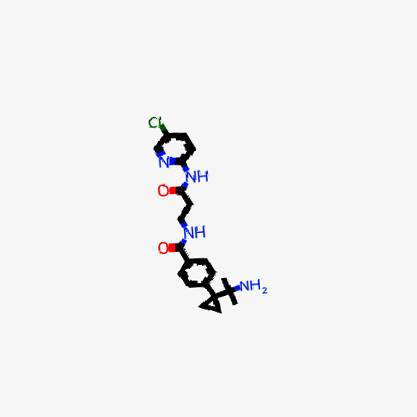 CC(C)(N)C1(c2ccc(C(=O)NCCC(=O)Nc3ccc(Cl)cn3)cc2)CC1